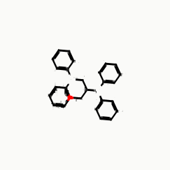 CC(C)CC(CP(c1ccccc1)c1ccccc1)P(c1ccccc1)c1ccccc1